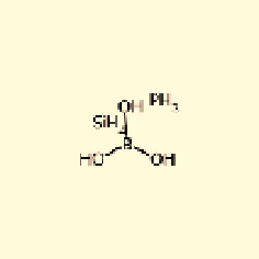 OB(O)O.P.[SiH4]